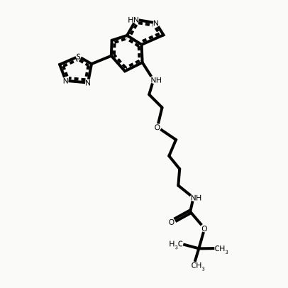 CC(C)(C)OC(=O)NCCCCOCCNc1cc(-c2nncs2)cc2[nH]ncc12